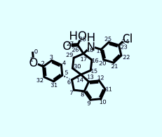 COc1ccc([C@H]2Cc3ccccc3C23CCC(Nc2cccc(Cl)c2)(C(=O)O)CC3)cc1